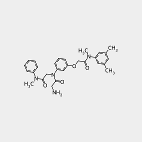 Cc1cc(C)cc(N(C)C(=O)COc2cccc(N(CC(=O)N(C)c3ccccc3)C(=O)CN)c2)c1